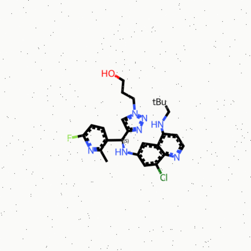 Cc1nc(F)ccc1[C@H](Nc1cc(Cl)c2nccc(NCC(C)(C)C)c2c1)c1cn(CCCO)nn1